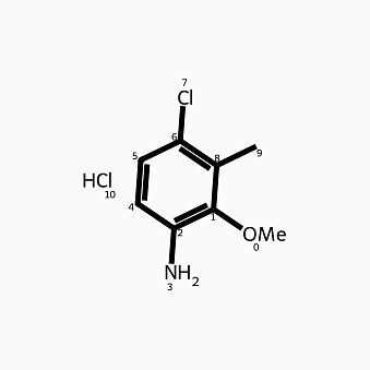 COc1c(N)ccc(Cl)c1C.Cl